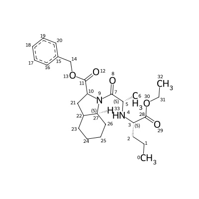 CCC[C@H](N[C@@H](C)C(=O)N1C(C(=O)OCc2ccccc2)CC2CCCC[C@@H]21)C(=O)OCC